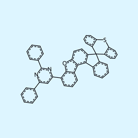 c1ccc(-c2cc(-c3cccc4c3oc3ccc5c(c34)-c3ccccc3C53c4ccccc4Sc4ccccc43)nc(-c3ccccc3)n2)cc1